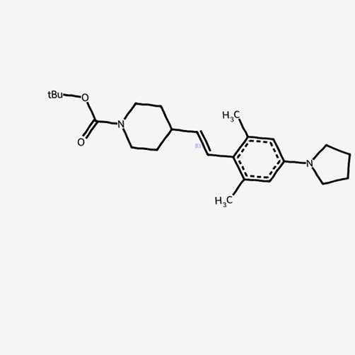 Cc1cc(N2CCCC2)cc(C)c1/C=C/C1CCN(C(=O)OC(C)(C)C)CC1